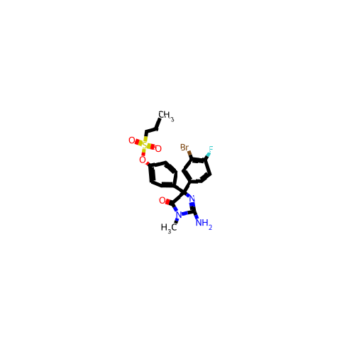 CCCS(=O)(=O)Oc1ccc(C2(c3ccc(F)c(Br)c3)N=C(N)N(C)C2=O)cc1